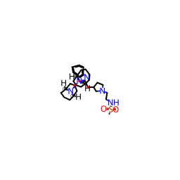 CS(=O)(=O)NCCN1CCC(Cc2nc3ccccc3n2C2C[C@H]3CCC[C@@H](C2)N3C2C[C@H]3CCCC[C@@H](C2)C3)C1